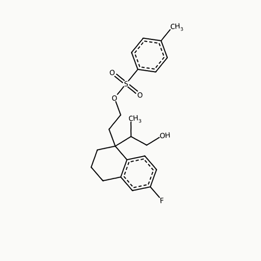 Cc1ccc(S(=O)(=O)OCCC2(C(C)CO)CCCc3cc(F)ccc32)cc1